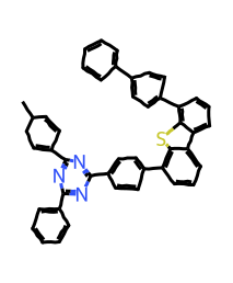 CC1C=CC(c2nc(-c3ccccc3)nc(-c3ccc(-c4cccc5c4sc4c(-c6ccc(-c7ccccc7)cc6)cccc45)cc3)n2)=CC1